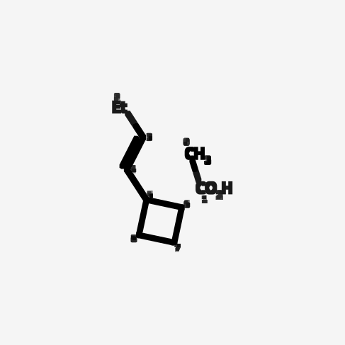 CC(=O)O.CCC=CC1CCC1